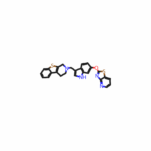 c1cnc2nc(Oc3ccc4c(CN5CCc6c(sc7ccccc67)C5)c[nH]c4c3)sc2c1